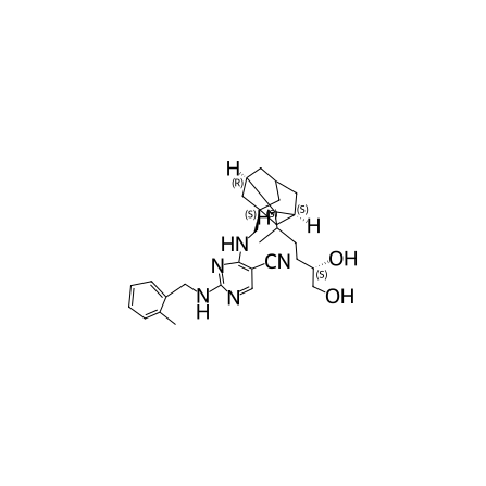 Cc1ccccc1CNc1ncc(C#N)c(NC[C@]23CC4C[C@H](C2)[C@@H](C(C)CC[C@H](O)CO)[C@@H](C4)C3)n1